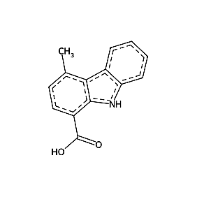 Cc1ccc(C(=O)O)c2[nH]c3ccccc3c12